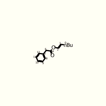 CCCC/C=C/OC(=O)Cc1ccccc1